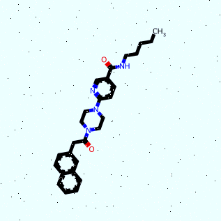 CCCCCNC(=O)c1ccc(N2CCN(C(=O)Cc3ccc4ccccc4c3)CC2)nc1